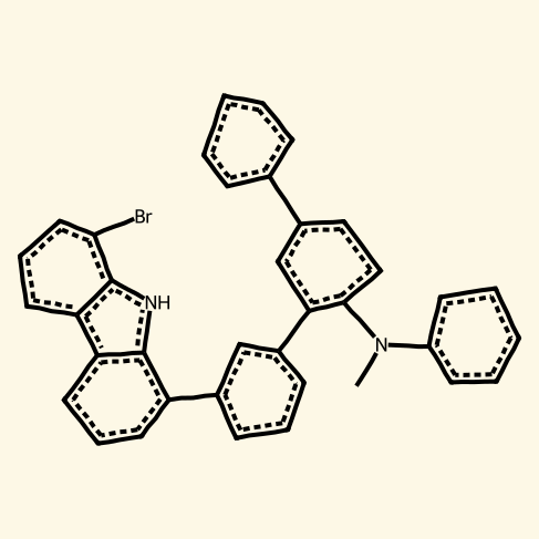 CN(c1ccccc1)c1ccc(-c2ccccc2)cc1-c1cccc(-c2cccc3c2[nH]c2c(Br)cccc23)c1